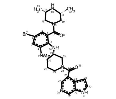 CNc1cc(Br)cc(C(=O)N2C[C@@H](C)N[C@@H](C)C2)c1N[C@@H]1CCCN(C(=O)c2cncc3[nH]ccc23)C1